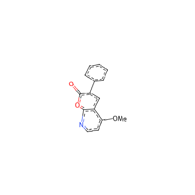 COc1ccnc2oc(=O)c(-c3ccccc3)cc12